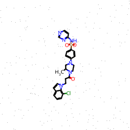 CC1CN(c2ccc(S(=O)(=O)Nc3ccncn3)cc2)CCN1C(=O)CCn1ccc2cccc(Cl)c21